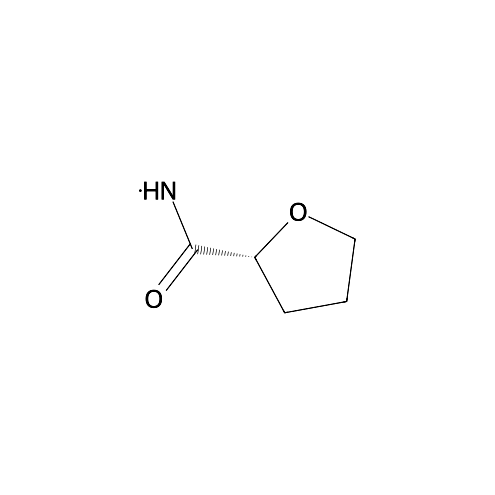 [NH]C(=O)[C@H]1CCCO1